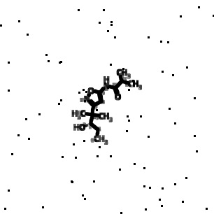 CC[C@H](O)C(C)(C)c1cc(NC(=O)C(C)C)on1